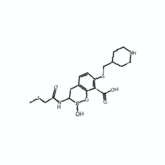 CSCC(=O)NC1Cc2ccc(SCC3CCNCC3)c(C(=O)O)c2OB1O